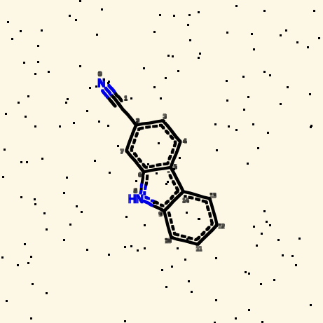 N#Cc1ccc2c(c1)[nH]c1ccccc12